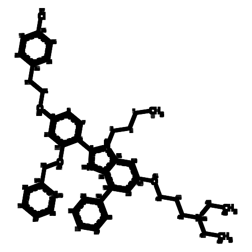 CCCCn1c(-c2ccc(OCCc3ccc(Cl)cc3)cc2OCc2ccccn2)nc2c(-c3c[c]ccc3)cc(OCCCN(CC)CC)cc21